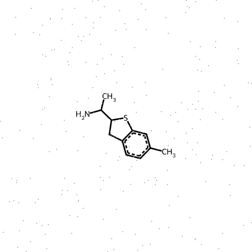 Cc1ccc2c(c1)SC(C(C)N)C2